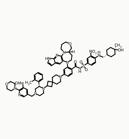 COc1cc(CN2CCN(C3CC4(CCN(c5ccc(C(=O)NS(=O)(=O)c6ccc(NC[C@H]7CC[C@](C)(O)CC7)c([N+](=O)[O-])c6)c(N6CC[C@H]7COCCCN7c7nc8[nH]ccc8cc76)c5)CC4)C3)[C@H](c3ccccc3C)C2)cnc1N1CCOCC1